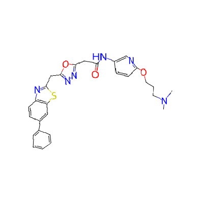 CN(C)CCCOc1ccc(NC(=O)Cc2nnc(Cc3nc4ccc(-c5ccccc5)cc4s3)o2)cn1